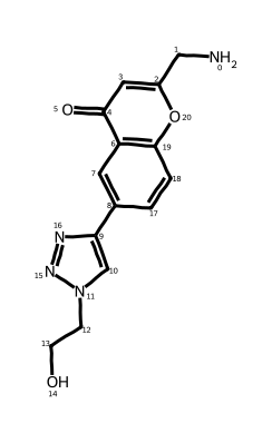 NCc1cc(=O)c2cc(-c3cn(CCO)nn3)ccc2o1